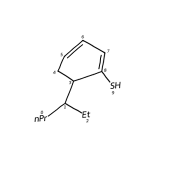 CCCC(CC)C1CC=CC=C1S